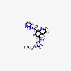 O=C(Nc1ccccn1)c1ccc(NC2CCN(C(=O)O)C2)c2cccnc12